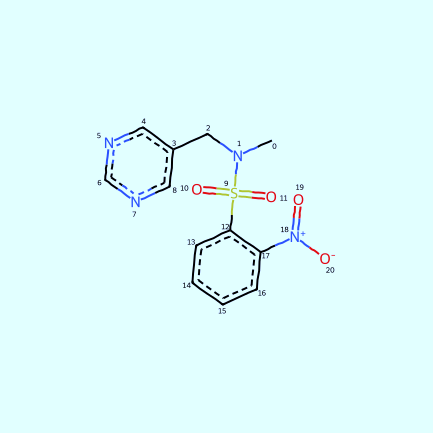 CN(Cc1cncnc1)S(=O)(=O)c1ccccc1[N+](=O)[O-]